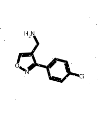 NCc1conc1-c1ccc(Cl)cc1